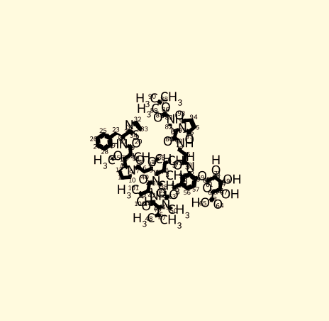 CC[C@H](C)[C@@H](C(CC(=O)N1CCC[C@H]1[C@H](OC)[C@@H](C)C(=O)N[C@@H](Cc1ccccc1)c1nccs1)OC)N(C)C(=O)[C@@H](NC(=O)[C@H](C(C)C)N(C)C(=O)OCc1ccc(O[C@@H]2O[C@H](C(=O)O)[C@@H](O)[C@H](O)[C@H]2O)c(NC(=O)CCNC(=O)[C@H](CNC(=O)OC(C)(C)C)N2C(=O)C=CC2=O)c1)C(C)C